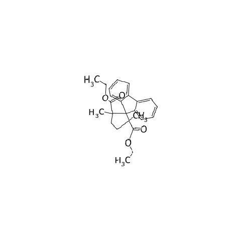 CCOC(=O)C1(C)CCC(C)(C(=O)OCC)C12c1ccccc1-c1ccccc12